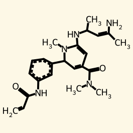 C=CC(=O)Nc1cccc(C2C=C(C(=O)N(C)C)C=C(NC(C)/C=C(/C)N)N2C)c1